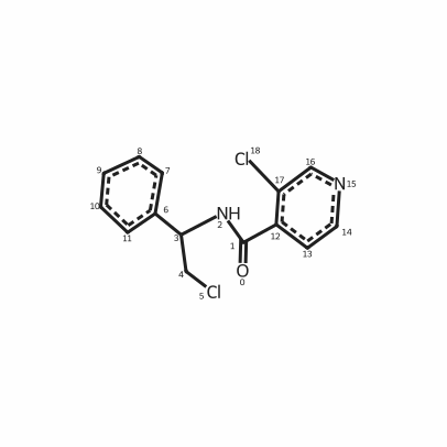 O=C(NC(CCl)c1ccccc1)c1ccncc1Cl